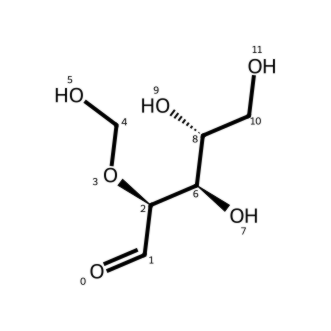 O=C[C@@H](OCO)[C@H](O)[C@H](O)CO